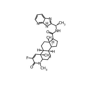 C[C@@H](NC(=O)C1CC[C@H]2[C@@H]3CCC4N(C)C(=O)C(F)=C[C@]4(C)[C@@H]3CC[C@]12C)c1nc2cccnc2[nH]1